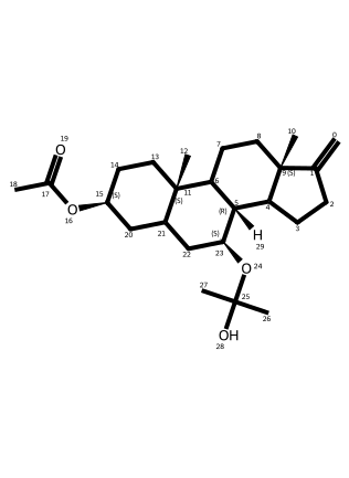 C=C1CCC2[C@H]3C(CC[C@]12C)[C@@]1(C)CC[C@H](OC(C)=O)CC1C[C@@H]3OC(C)(C)O